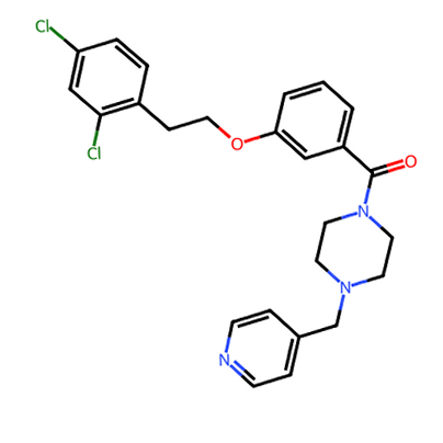 O=C(c1cccc(OCCc2ccc(Cl)cc2Cl)c1)N1CCN(Cc2ccncc2)CC1